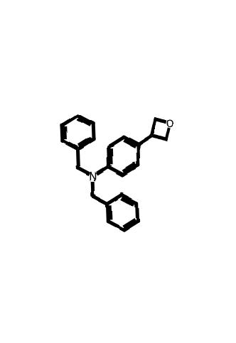 c1ccc(CN(Cc2ccccc2)c2ccc(C3COC3)cc2)cc1